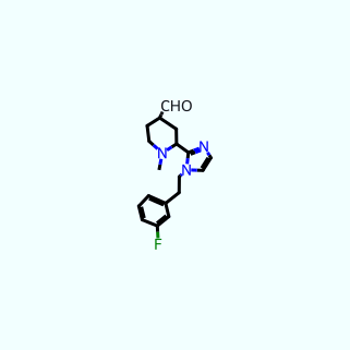 CN1CCC(C=O)CC1c1nccn1CCc1cccc(F)c1